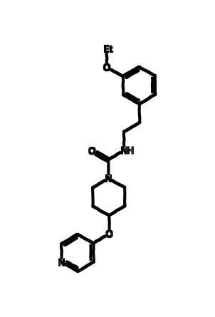 CCOc1cccc(CCNC(=O)N2CCC(Oc3ccncc3)CC2)c1